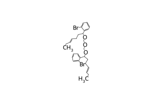 CCC=CCCC(OCOCOC(CCC=CCC)c1ccccc1Br)c1ccccc1Br